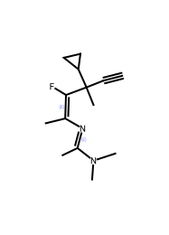 C#CC(C)(/C(F)=C(C)\N=C(/C)N(C)C)C1CC1